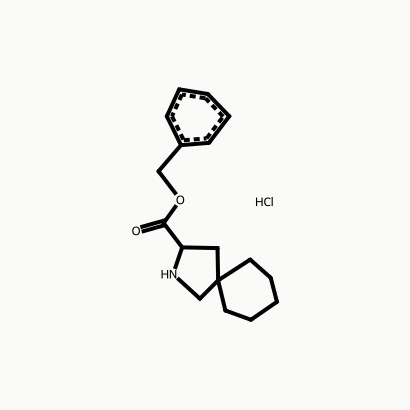 Cl.O=C(OCc1ccccc1)C1CC2(CCCCC2)CN1